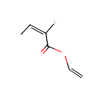 C=COC(=O)C(=CC)CC